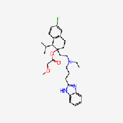 CCN(CCCc1nc2ccccc2[nH]1)CCC1(OC(=O)COC)CCc2cc(F)ccc2C1C(C)C